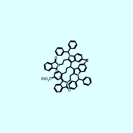 CCOC(=O)c1ccc(CCC(c2c(CCN3C(=O)c4ccccc4C3=O)n(C(c3ccccc3)c3ccccc3)c3ccc(Cl)cc23)c2c(CCN3C(=O)c4ccccc4C3=O)n(C(c3ccccc3)c3ccccc3)c3ccc(Cl)cc23)cc1